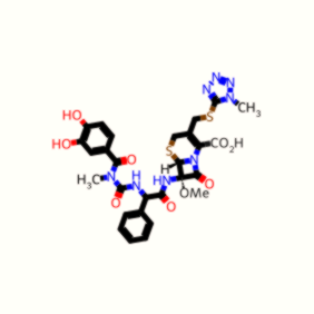 CO[C@@]1(NC(=O)C(NC(=O)N(C)C(=O)c2ccc(O)c(O)c2)c2ccccc2)C(=O)N2C(C(=O)O)=C(CSc3nnnn3C)CS[C@H]21